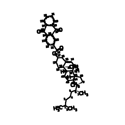 CC(C)CCC[C@@H](C)[C@H]1CC[C@H]2[C@@H]3CC=C4CC(OC(=O)c5ccc6c(c5)C(=O)c5ccccc5C6=O)CC[C@]4(C)[C@H]3CC[C@]12C